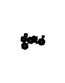 O=C1CCC(c2ccccc2)N1c1ccc2c(cnn2Cc2cccc(F)c2)c1